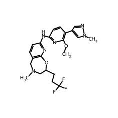 COc1nc(Nc2ccc3c(n2)OC(CCC(F)(F)F)CN(C)C3)ccc1-c1cnn(C)c1